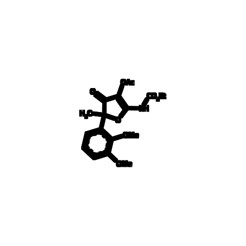 CCOC(=O)NC1=C(OC(C)=O)C(=O)C(C)(c2cccc(OC)c2OC)O1